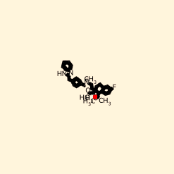 CO[C@H](C(=O)O)C1(CCN(C)Cc2ccc(Cc3nc4ccccc4[nH]3)cc2)CCc2cc(F)ccc2C1C(C)C